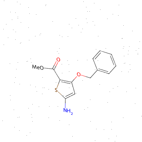 COC(=O)c1sc(N)cc1OCc1ccccc1